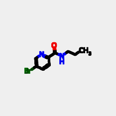 CCCNC(=O)c1ccc(Br)cn1